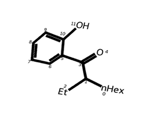 CCCCCCC(CC)C(=O)c1ccccc1O